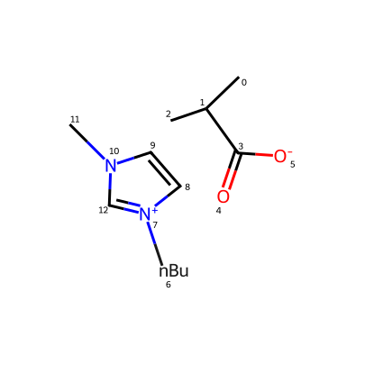 CC(C)C(=O)[O-].CCCC[n+]1ccn(C)c1